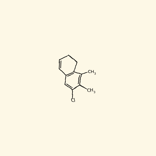 Cc1c(Cl)cc2c(c1C)CCC=C2